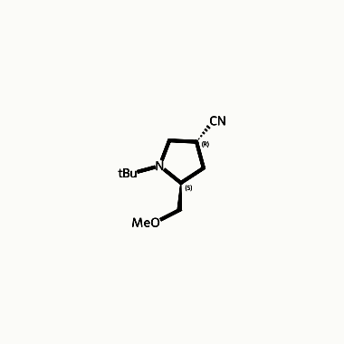 COC[C@@H]1C[C@@H](C#N)CN1C(C)(C)C